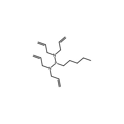 C=CCN(CC=C)P(CCCCC)N(CC=C)CC=C